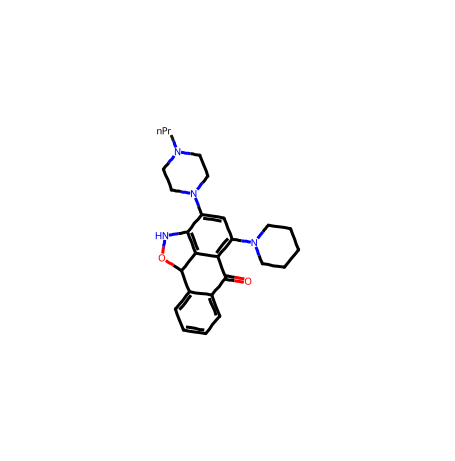 CCCN1CCN(c2cc(N3CCCCC3)c3c4c2NOC4c2ccccc2C3=O)CC1